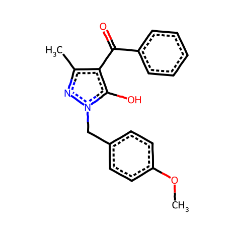 COc1ccc(Cn2nc(C)c(C(=O)c3ccccc3)c2O)cc1